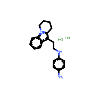 Cl.Cl.Nc1ccc(NCCc2c3n(c4ccccc24)CCCC3)cc1